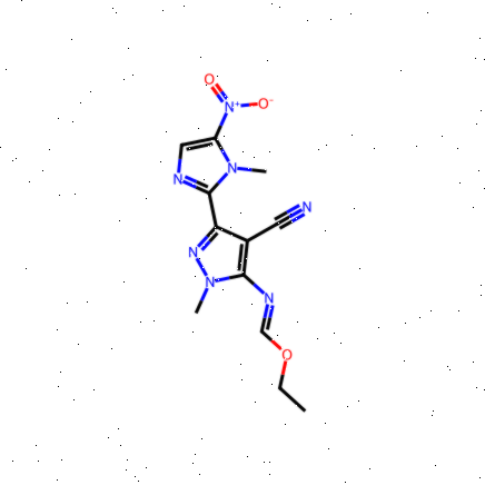 CCOC=Nc1c(C#N)c(-c2ncc([N+](=O)[O-])n2C)nn1C